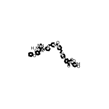 Nc1ncnc2c1c(-c1ccc(Oc3ccccc3)cc1)nn2C1CCCN(CC2CCN(C(=O)N3CCC(CCN4CCN(c5ccc6c(c5)C(=O)N(C5CCC(=O)NC5=O)C6=O)CC4)CC3)CC2)C1